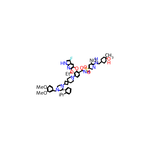 CCOc1nc2[nH]cc(F)c2cc1Oc1cc(N2CCC3(CC2)CC(N2CCN(Cc4ccc(OC)c(OC)c4)C[C@H]2c2ccccc2C(C)C)C3)ccc1C(=O)NS(=O)(=O)c1cnc(NCC2CCC(C)(O)CC2)c([N+](=O)[O-])c1